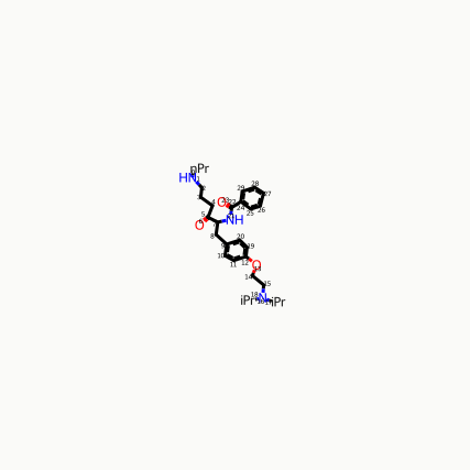 CCCNCCCC(=O)C(Cc1ccc(OCCN(C(C)C)C(C)C)cc1)NC(=O)c1ccccc1